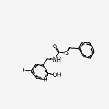 O=C(NCc1cc(F)cnc1O)OCc1ccccc1